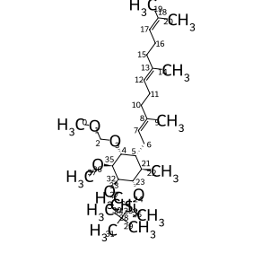 COCO[C@@H]1[C@H](C/C=C(\C)CC/C=C(\C)CCC=C(C)C)[C@@H](C)[C@H](O[Si](C)(C)C(C)(C)C)[C@@H](OC)[C@H]1OC